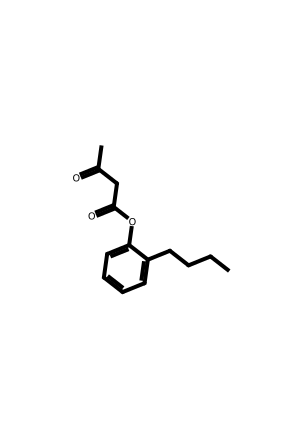 CCCCc1ccccc1OC(=O)CC(C)=O